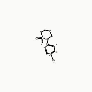 O=S1(=O)CCCCN1c1ncc(Br)cn1